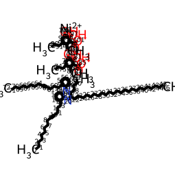 CCCCCCCCCC#CCCCc1ccccc1N=C(C=CCCCCCCCCCCCCCCCCCCCCCCC)C(CCCC)=Nc1ccccc1CCCC#CCCCCCCCCC.CCCc1cc(O)c(O)c(C(=O)[O-])c1CC.CCCc1cc(O)c(O)c(C(=O)[O-])c1CC.[Ni+2]